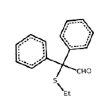 CCSC(C=O)(c1ccccc1)c1ccccc1